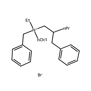 CCCCCCCC[N+](CC)(Cc1ccccc1)CC(CCC)Cc1ccccc1.[Br-]